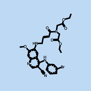 CCOC(=O)CN(CC(=O)OCC)C(=O)C=CCNc1cc2c(Nc3cccc(Br)c3)c(C#N)cnc2cc1OC